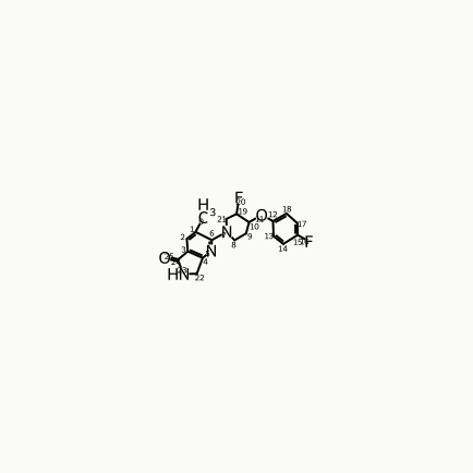 Cc1cc2c(nc1N1CCC(Oc3ccc(F)cc3)C(F)C1)CNC2=O